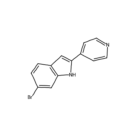 Brc1ccc2cc(-c3ccncc3)[nH]c2c1